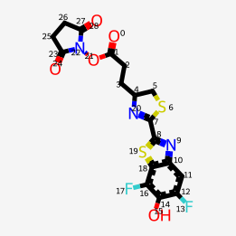 O=C(CCC1CSC(c2nc3cc(F)c(O)c(F)c3s2)=N1)ON1C(=O)CCC1=O